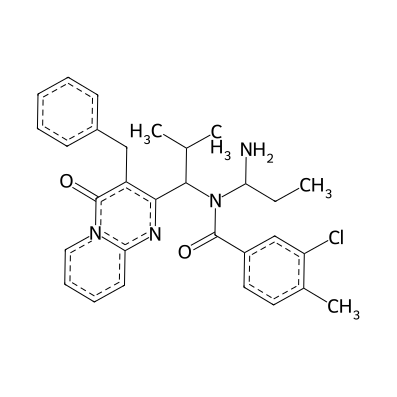 CCC(N)N(C(=O)c1ccc(C)c(Cl)c1)C(c1nc2ccccn2c(=O)c1Cc1ccccc1)C(C)C